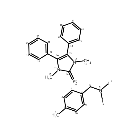 Cc1ccc(CN(I)I)cc1.Cn1c(-c2ccccc2)c(-c2ccccc2)n(C)[c]1=[Pt]